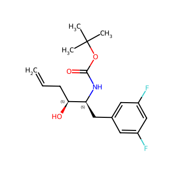 C=CC[C@H](O)[C@H](Cc1cc(F)cc(F)c1)NC(=O)OC(C)(C)C